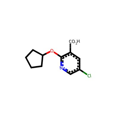 O=C(O)c1cc(Cl)cnc1OC1CCCC1